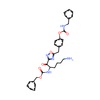 NCCCCC(NC(=O)OCc1ccccc1)C(=O)c1noc(Cc2ccc(OC(=O)NCc3ccccc3)cc2)n1